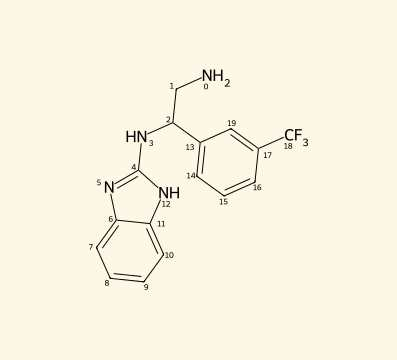 NCC(Nc1nc2ccccc2[nH]1)c1cccc(C(F)(F)F)c1